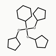 C1CCC([Si](OC2CCCC2)(OC2CCCC2)OC2CCCC2)CC1